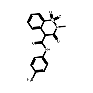 Bc1ccc(NC(=O)C2C(=O)N(C)S(=O)(=O)c3ccccc32)cc1